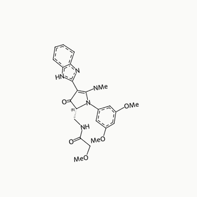 CNC1=C(c2nc3ccccc3[nH]2)C(=O)[C@@H](CNC(=O)COC)N1c1cc(OC)cc(OC)c1